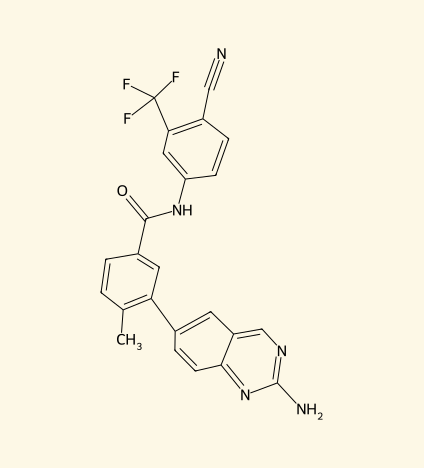 Cc1ccc(C(=O)Nc2ccc(C#N)c(C(F)(F)F)c2)cc1-c1ccc2nc(N)ncc2c1